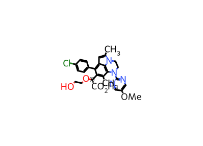 COc1cnc(N2CCn3c(C)cc4c(-c5ccc(Cl)cc5)c([C@H](OCCO)C(=O)O)c(C)c2c43)nc1